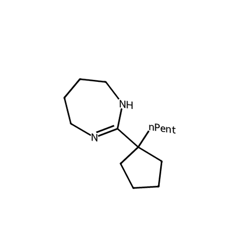 CCCCCC1(C2=NCCCCN2)CCCC1